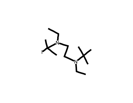 CCN(CCN(CC)C(C)(C)I)C(C)(C)C